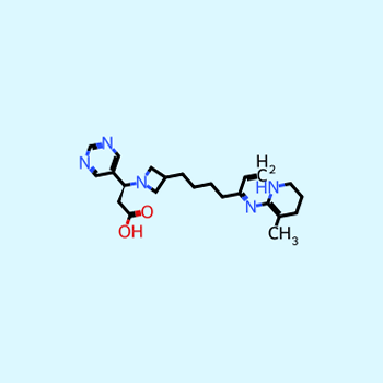 C=C/C(CCCCC1CN([C@@H](CC(=O)O)c2cncnc2)C1)=N\C1=C(C)CCCN1